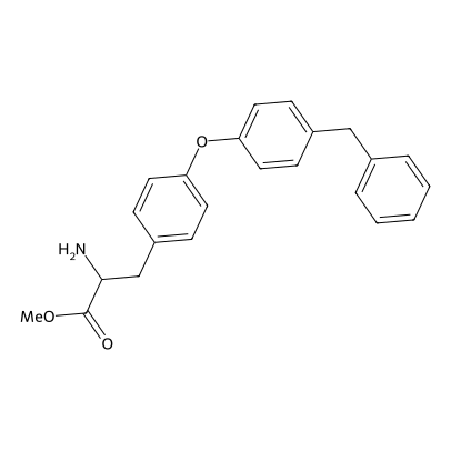 COC(=O)C(N)Cc1ccc(Oc2ccc(Cc3ccccc3)cc2)cc1